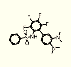 CN(C)c1ccc(-c2c(F)c(F)c(F)c(F)c2NS(=O)(=O)c2ccccc2)cc1N(C)C